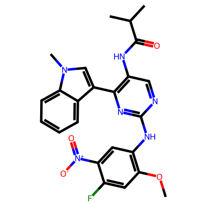 COc1cc(F)c([N+](=O)[O-])cc1Nc1ncc(NC(=O)C(C)C)c(-c2cn(C)c3ccccc23)n1